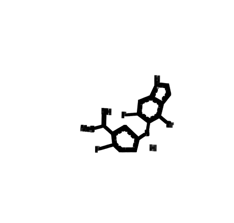 CSC(=N)c1cc(Sc2c(F)cc3[nH]ccc3c2Br)ccc1F.I